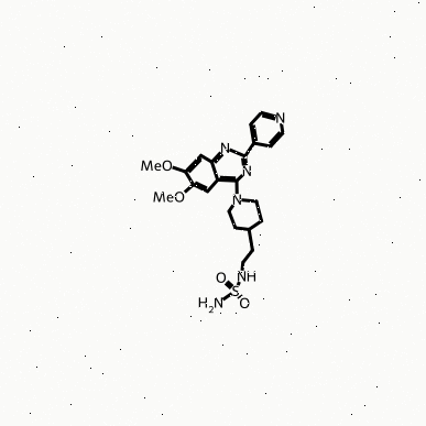 COc1cc2nc(-c3ccncc3)nc(N3CCC(CCNS(N)(=O)=O)CC3)c2cc1OC